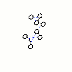 c1ccc(-c2cc(-c3ccccc3)nc(-n3c4ccccc4c4cc(-n5c6ccccc6c6c7c8ccccc8n(-c8ccccc8)c7ccc65)ccc43)n2)cc1